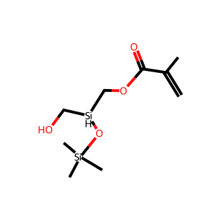 C=C(C)C(=O)OC[SiH](CO)O[Si](C)(C)C